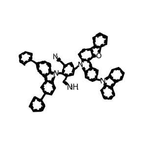 N#Cc1cc(-n2c3ccc(-n4c5ccccc5c5ccccc54)cc3c3c4oc5ccccc5c4ccc32)cc(C=N)c1-n1c2ccc(-c3ccccc3)cc2c2cc(-c3ccccc3)ccc21